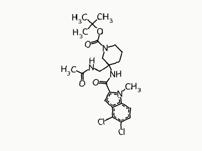 CC(=O)NCC1(NC(=O)c2cc3c(Cl)c(Cl)ccc3n2C)CCCN(C(=O)OC(C)(C)C)C1